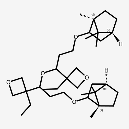 CCC1(C(CCOC2C[C@H]3CC[C@@]2(C)C3(C)C)OC(CCOC2C[C@H]3CC[C@@]2(C)C3(C)C)C2(CC)COC2)COC1